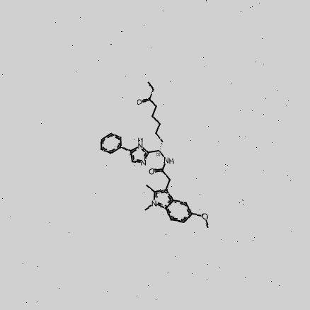 CCC(=O)CCCCC[C@H](NC(=O)Cc1c(C)n(C)c2ccc(OC)cc12)c1ncc(-c2ccccc2)[nH]1